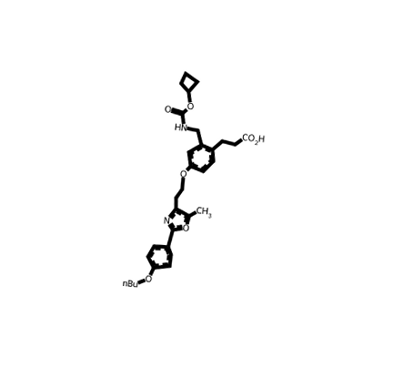 CCCCOc1ccc(-c2nc(CCOc3ccc(CCC(=O)O)c(CNC(=O)OC4CCC4)c3)c(C)o2)cc1